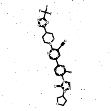 N#Cc1cc(-c2ccc(-n3cnn(C4CCOC4)c3=O)c(F)c2)cnc1N1CCC(c2nnc(C(F)(F)F)o2)CC1